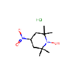 CC1(C)CC([N+](=O)[O-])CC(C)(C)N1O.Cl